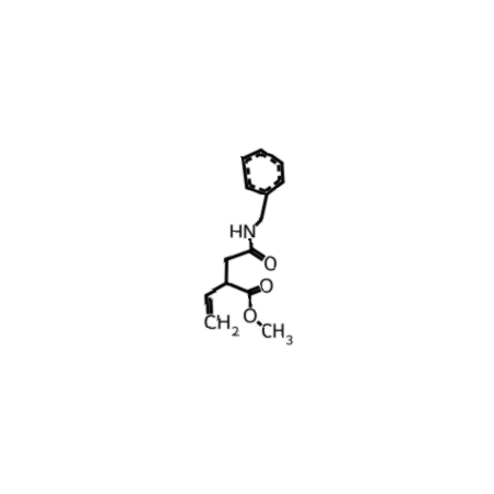 C=CC(CC(=O)NCc1ccccc1)C(=O)OC